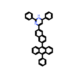 C1=C(c2ccc3cc(-c4c5ccccc5c(-c5ccccc5)c5ccccc45)ccc3c2)N=C(c2ccccc2)NC1c1ccccc1